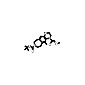 COCC(=O)N1CCOc2cc3c(c(C)c21)CCN(C(=O)OC(C)(C)C)CC3